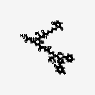 CC(C)C(NC(=O)CCCCCN1C(=O)C=CC1=O)C(=O)NC(CCCNC(N)=O)C(=O)NCC(=O)CCN([C@H](N)CF)[C@@H](c1nc(-c2cc(F)ccc2F)cn1Cc1ccccc1)C(C)(C)C